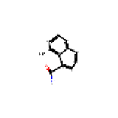 [NH-]C(=O)c1cccc2ccccc12.[Na+]